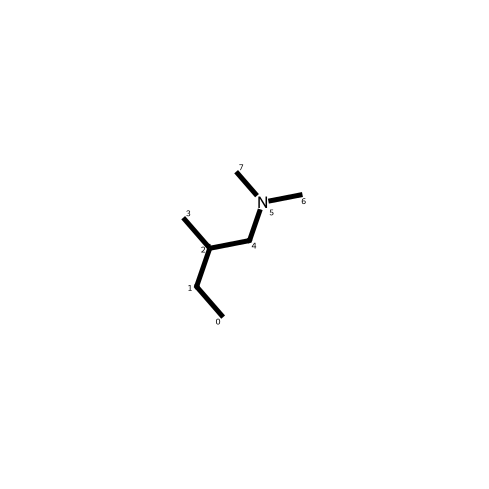 CC[C](C)CN(C)C